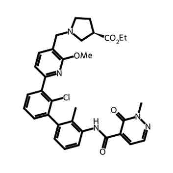 CCOC(=O)[C@@H]1CCN(Cc2ccc(-c3cccc(-c4cccc(NC(=O)c5ccnn(C)c5=O)c4C)c3Cl)nc2OC)C1